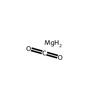 O=C=O.[MgH2]